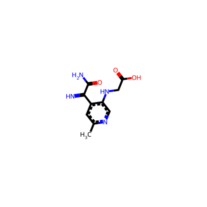 Cc1cc(C(=N)C(N)=O)c(NCC(=O)O)cn1